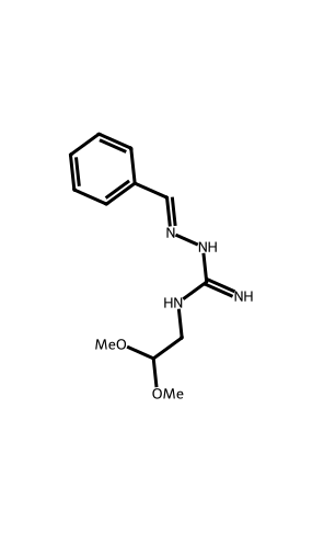 COC(CNC(=N)NN=Cc1ccccc1)OC